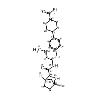 CCC(=O)N1CCC(c2ccc(C[C@@H](/C=N/C)NC(=O)[C@H]3N[C@@H]4CC[C@H]3C4)cc2)CC1